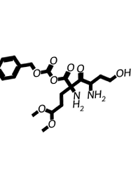 COC(CCC(N)(C(=O)OC(=O)OCc1ccccc1)C(=O)C(N)CCO)OC